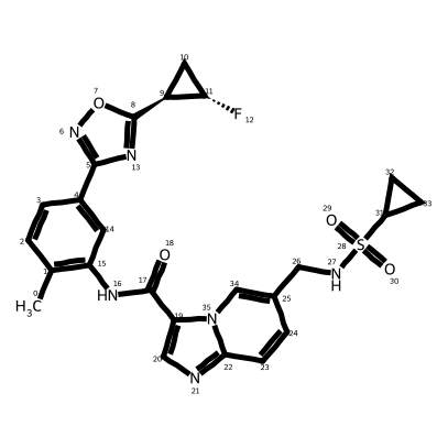 Cc1ccc(-c2noc([C@H]3C[C@@H]3F)n2)cc1NC(=O)c1cnc2ccc(CNS(=O)(=O)C3CC3)cn12